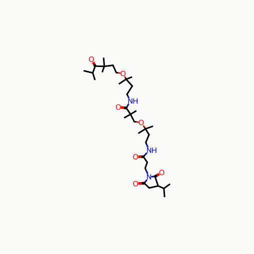 CC(C)C(=O)C(C)(C)CCOC(C)(C)CCNC(=O)C(C)(C)COC(C)(C)CCNC(=O)CCN1C(=O)CC(C(C)C)C1=O